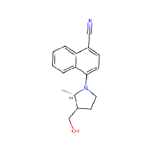 C[C@H]1C(CO)CCN1c1ccc(C#N)c2ccccc12